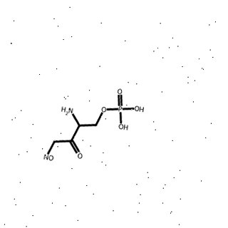 NC(COP(=O)(O)O)C(=O)CN=O